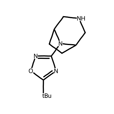 CC(C)(C)c1nc(N2C3CCC2CNC3)no1